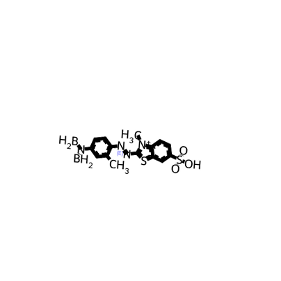 BN(B)c1ccc(/N=N/c2sc3cc(S(=O)(=O)O)ccc3[n+]2C)c(C)c1